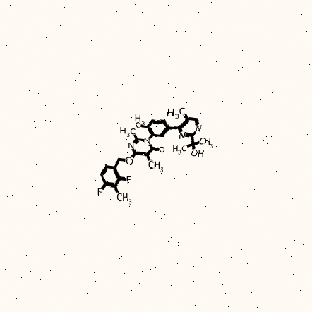 Cc1ccc(-c2nc(C(C)(C)O)ncc2C)cc1-n1c(C)nc(OCc2ccc(F)c(C)c2F)c(C)c1=O